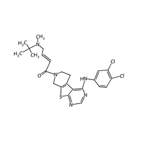 CN(CC=CC(=O)N1CCc2c(sc3ncnc(Nc4ccc(Cl)c(Cl)c4)c23)C1)C(C)(C)C